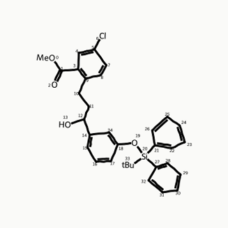 COC(=O)c1cc(Cl)ccc1CCC(O)c1cccc(O[Si](c2ccccc2)(c2ccccc2)C(C)(C)C)c1